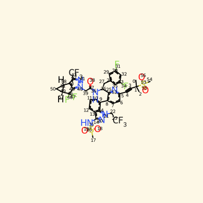 CC(C)(C#Cc1ccc(-c2cccc3c(NS(C)(=O)=O)nn(CC(F)(F)F)c23)c([C@H](Cc2cc(F)cc(F)c2)NC(=O)Cn2nc(C(F)(F)F)c3c2C(F)(F)[C@@H]2C[C@H]32)n1)S(C)(=O)=O